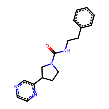 O=C(NCCc1ccccc1)N1CCC(c2cnccn2)C1